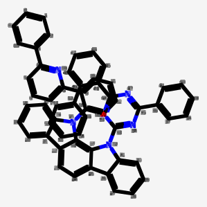 c1ccc(-c2cccc(-c3ccccc3-n3c4ccccc4c4ccc5c6ccccc6n(-c6nc(-c7ccccc7)nc(-c7ccccc7-c7ccccc7)n6)c5c43)n2)cc1